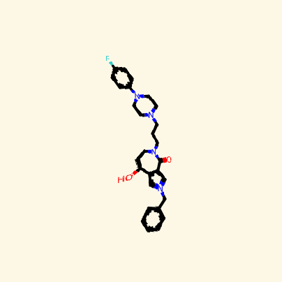 O=C1c2cn(Cc3ccccc3)cc2C(O)CCN1CCCN1CCN(c2ccc(F)cc2)CC1